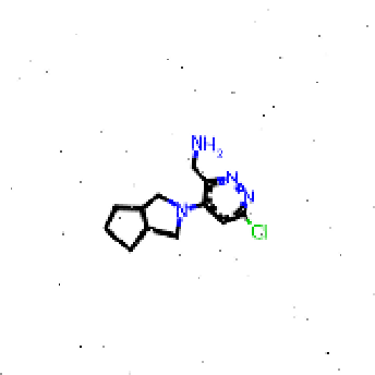 NCc1nnc(Cl)cc1N1CC2CCCC2C1